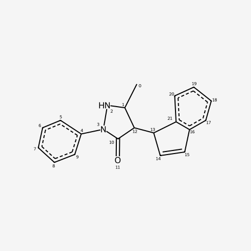 CC1NN(c2ccccc2)C(=O)C1C1C=Cc2ccccc21